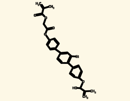 C=C(C)C(=O)OCC(=O)Oc1ccc(-c2ccc(-c3ccc(OC(O)C(=C)C)cc3)c(CC)c2)cc1